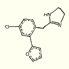 Clc1ccc(CC2=NCCN2)c(-c2ccco2)c1